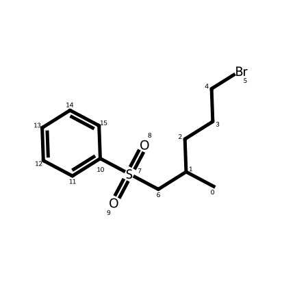 CC(CCCBr)CS(=O)(=O)c1ccccc1